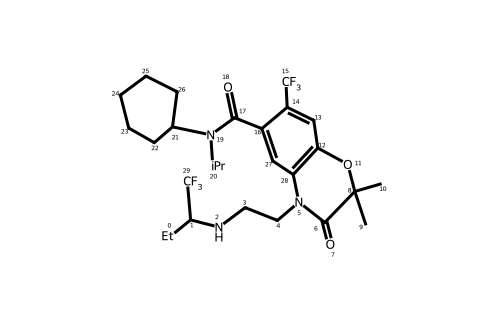 CCC(NCCN1C(=O)C(C)(C)Oc2cc(C(F)(F)F)c(C(=O)N(C(C)C)C3CCCCC3)cc21)C(F)(F)F